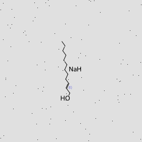 CCCCCCCCC/C=C/CO.[NaH]